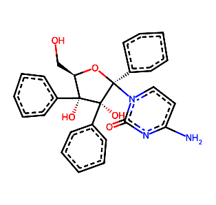 Nc1ccn([C@]2(c3ccccc3)O[C@H](CO)[C@](O)(c3ccccc3)[C@]2(O)c2ccccc2)c(=O)n1